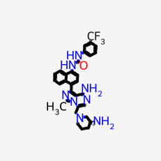 Cc1nc(-c2ccc(NC(=O)Nc3cccc(C(F)(F)F)c3)c3ccccc23)c2c(N)ncc(CN3CCC[C@@H](N)C3)n12